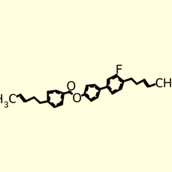 C/C=C/CCc1ccc(C(=O)Oc2ccc(-c3ccc(CC/C=C/C)c(F)c3)cc2)cc1